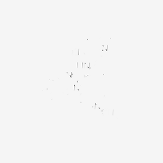 CN1CCC(n2c([C@H]3CCC[C@@H](c4ncccc4Cl)N3)nc3ccccc32)CC1